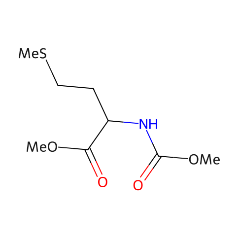 COC(=O)NC(CCSC)C(=O)OC